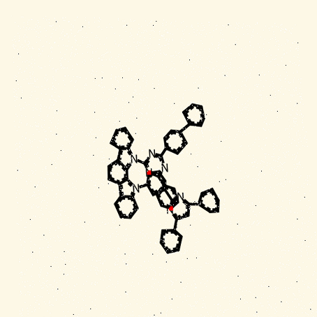 c1ccc(-c2ccc(-c3nc(-c4ccccc4)nc(-n4c5ccccc5c5ccc6c7ccccc7n(-c7cccc(-c8nc(-c9ccccc9)cc(-c9ccccc9)n8)c7)c6c54)n3)cc2)cc1